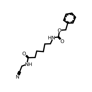 N#CCNC(=O)CCCCCNC(=O)OCc1ccccc1